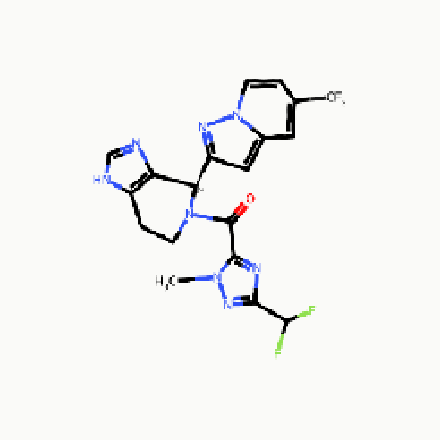 Cn1nc(C(F)F)nc1C(=O)N1CCc2[nH]cnc2[C@H]1c1cc2cc(C(F)(F)F)ccn2n1